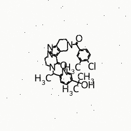 Cc1cc(C(=O)N2CCc3nn4c(c3C2)C(=O)N(C(C)c2ccc(C(C)(C)O)cn2)CC4)ccc1Cl